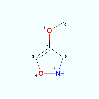 COC1=[C]ONC1